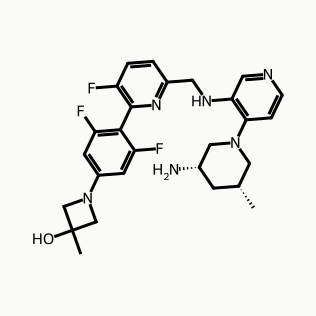 C[C@@H]1C[C@H](N)CN(c2ccncc2NCc2ccc(F)c(-c3c(F)cc(N4CC(C)(O)C4)cc3F)n2)C1